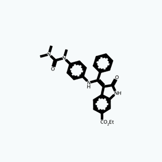 CCOC(=O)c1ccc2c(c1)NC(=O)C2=C(Nc1ccc(N(C)C(=O)N(C)C)cc1)c1ccccc1